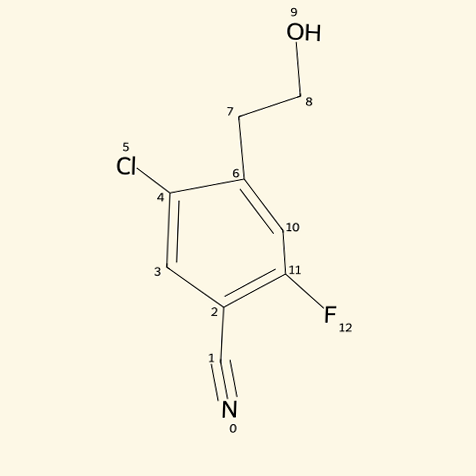 N#Cc1cc(Cl)c(CCO)cc1F